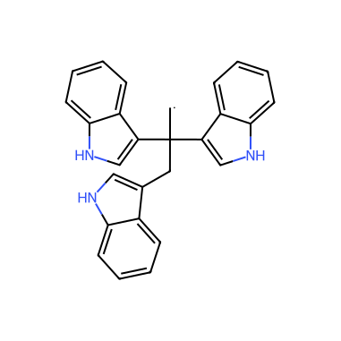 [CH2]C(Cc1c[nH]c2ccccc12)(c1c[nH]c2ccccc12)c1c[nH]c2ccccc12